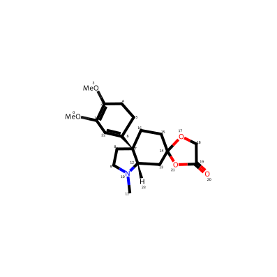 COC1=C(OC)CCC([C@]23CCN(C)[C@H]2CC2(CC3)OCC(=O)O2)=C1